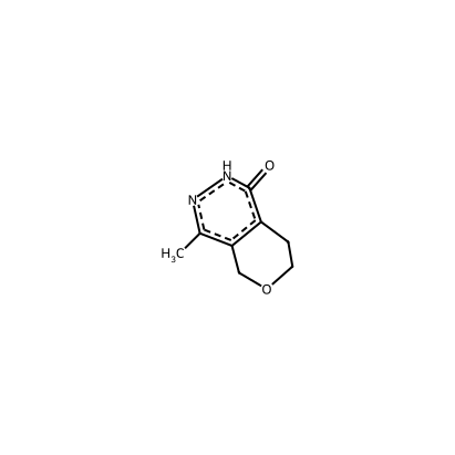 Cc1n[nH]c(=O)c2c1COCC2